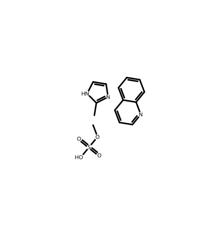 COS(=O)(=O)O.Cc1ncc[nH]1.c1ccc2ncccc2c1